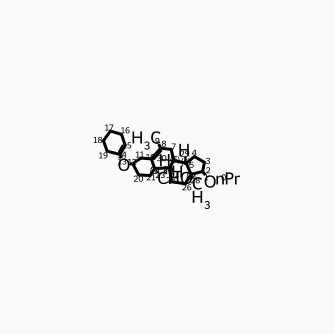 CCCOC1CC[C@H]2[C@@H]3CC(C)=C4CC(OC5=CCCCC5)CC[C@]4(C=O)[C@@H]3CC[C@]12C